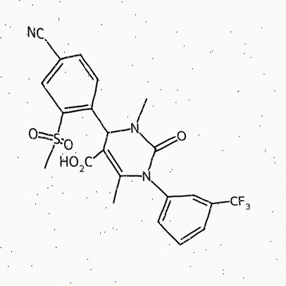 CC1=C(C(=O)O)C(c2ccc(C#N)cc2S(C)(=O)=O)N(C)C(=O)N1c1cccc(C(F)(F)F)c1